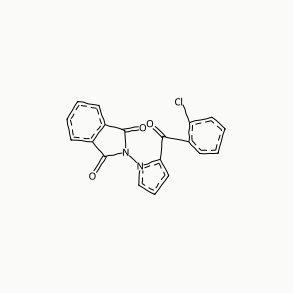 O=C(c1ccccc1Cl)c1cccn1N1C(=O)c2ccccc2C1=O